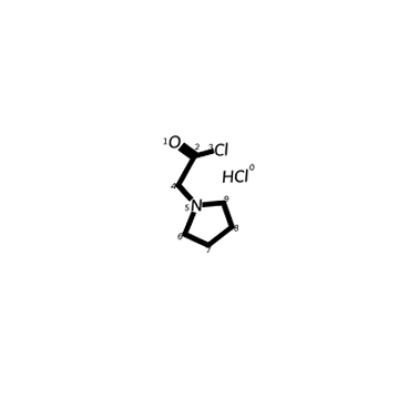 Cl.O=C(Cl)CN1CCCC1